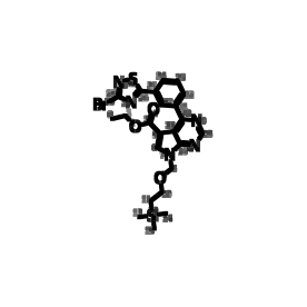 CCOC(=O)c1cn(COCC[Si](C)(C)C)c2ncnc(-c3cccc(-c4nc(Br)ns4)c3)c12